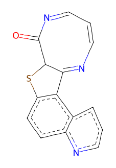 O=C1N=CC=CN=C2c3c(ccc4ncccc34)SC12